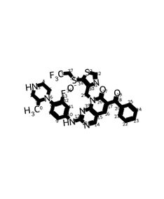 CC1CNCCN1c1ccc(Nc2ncc3cc(C(=O)c4ccccc4)c(=O)n(Cc4ncsc4[S+]([O-])CC(F)(F)F)c3n2)cc1F